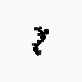 CS(=O)(=O)Nc1cccc([C@@H](O)CNCCOc2ccc3c(-c4ccccc4)c(CCC(=O)O)[nH]c3c2)c1